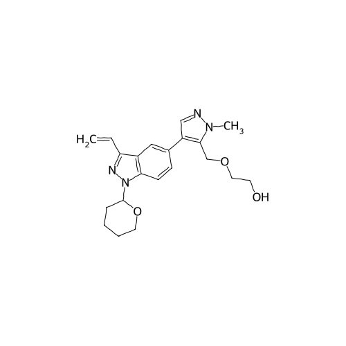 C=Cc1nn(C2CCCCO2)c2ccc(-c3cnn(C)c3COCCO)cc12